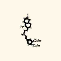 COc1ccc(CCN(C)CC[C]2CCc3cc(F)ccc3[C@@H]2C(C)C)cc1OC